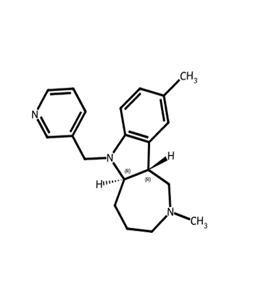 Cc1ccc2c(c1)[C@@H]1CN(C)CCC[C@H]1N2Cc1cccnc1